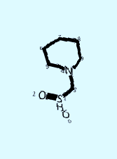 O=[SH](=O)CN1CC[CH]CC1